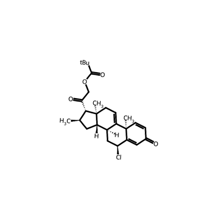 C[C@@H]1C[C@H]2[C@@H]3C[C@H](Cl)C4=CC(=O)C=C[C@]4(C)C3=CC[C@]2(C)[C@H]1C(=O)COC(=O)C(C)(C)C